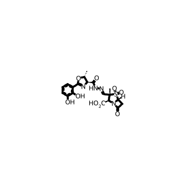 C[C@H]1OC(c2cccc(O)c2O)=N[C@@H]1C(=O)N/N=C/[C@@]1(C)[C@H](C(=O)O)N2C(=O)C[C@H]2S1(=O)=O